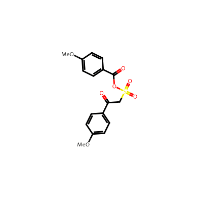 COc1ccc(C(=O)CS(=O)(=O)OC(=O)c2ccc(OC)cc2)cc1